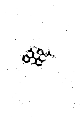 CNC(=O)/C=C(\c1ccccc1)c1c(F)ccc(F)c1-n1ccnc1NC(=O)C(F)(F)F